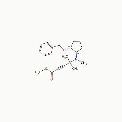 CSC(=O)C#CC(C)(C)N(C)[C@@H]1CCC[C@H]1OCc1ccccc1